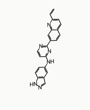 C=Cc1ccc2ccc(-c3nccc(Nc4ccc5[nH]ncc5c4)n3)cc2n1